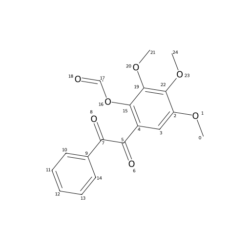 COc1cc(C(=O)C(=O)c2ccccc2)c(O[C]=O)c(OC)c1OC